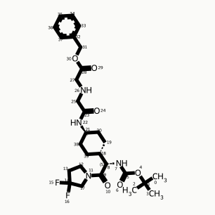 CC(C)(C)OC(=O)N[C@H](C(=O)N1CCC(F)(F)C1)[C@H]1CC[C@H](NC(=O)CNCC(=O)OCc2ccccc2)CC1